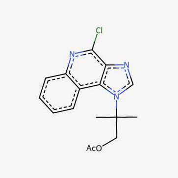 CC(=O)OCC(C)(C)n1cnc2c(Cl)nc3ccccc3c21